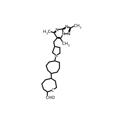 Cc1nc2nc(C)c(CC3CCN(C4CCCC(C5CCCC(C=O)CCC5)CCC4)C3)c(C)n2n1